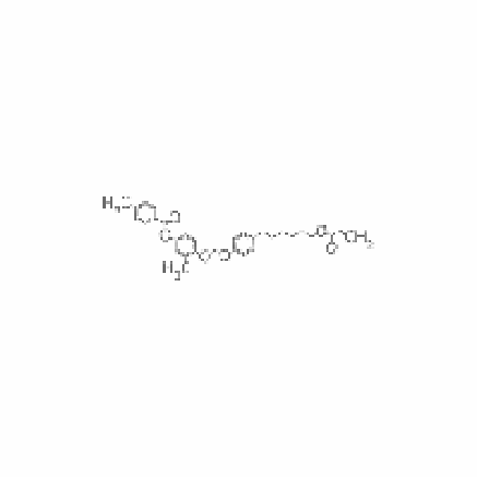 C=CC(=O)OCCCCCCc1ccc(OCOc2ccc(OC(=O)c3ccc(C)cc3)cc2C)cc1